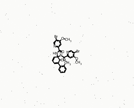 COc1cc(C(=O)NC2(NC(=O)c3cc(OC)c(Br)cn3)C=CC=C(c3ccccc3C)C2C)ncc1Br